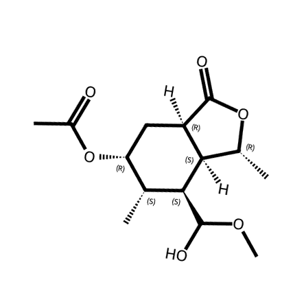 COC(O)[C@H]1[C@H](C)[C@H](OC(C)=O)C[C@H]2C(=O)O[C@H](C)[C@@H]12